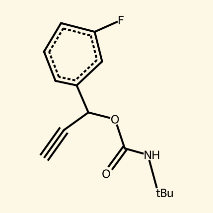 C#CC(OC(=O)NC(C)(C)C)c1cccc(F)c1